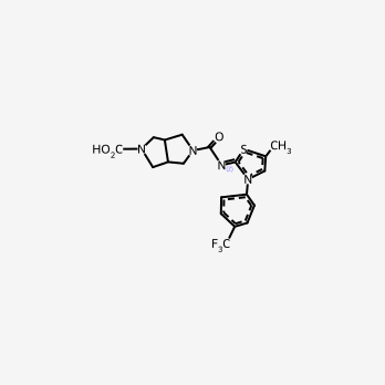 Cc1cn(-c2ccc(C(F)(F)F)cc2)/c(=N/C(=O)N2CC3CN(C(=O)O)CC3C2)s1